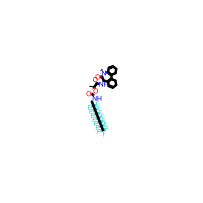 C[C@H](OC(=O)NCC(F)(F)C(F)(F)C(F)(F)C(F)(F)C(F)(F)C(F)(F)C(F)(F)F)C(=O)N[C@@H]1C(=O)N(C)C2=C(CCC=C2)C2=C1C=CCC2